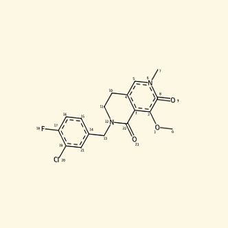 COc1c2c(cn(C)c1=O)CCN(Cc1ccc(F)c(Cl)c1)C2=O